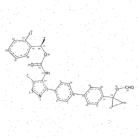 Cc1snc(-c2ccc(-c3ccc(C4(OC=O)CC4)cc3)cc2)c1NC(=O)O[C@H](C)c1ccccc1Cl